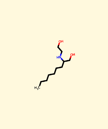 CCCCCCCC(CO)NCCO